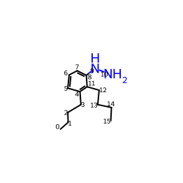 CCCCc1cccc(NN)c1CCCC